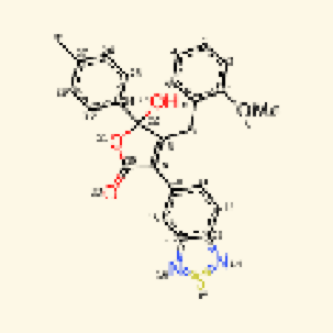 COc1ccccc1CC1=C(c2ccc3nsnc3c2)C(=O)OC1(O)c1ccc(C)cc1